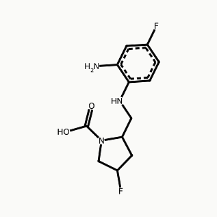 Nc1cc(F)ccc1NCC1CC(F)CN1C(=O)O